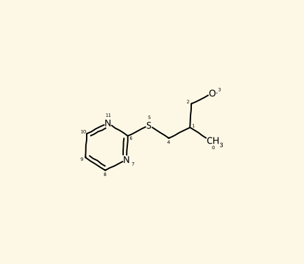 CC(C[O])CSc1ncccn1